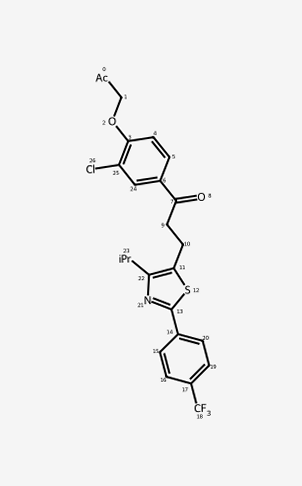 CC(=O)COc1ccc(C(=O)CCc2sc(-c3ccc(C(F)(F)F)cc3)nc2C(C)C)cc1Cl